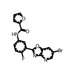 O=C(Nc1ccc(F)c(-c2nc3ncc(Br)cc3o2)c1)c1ccco1